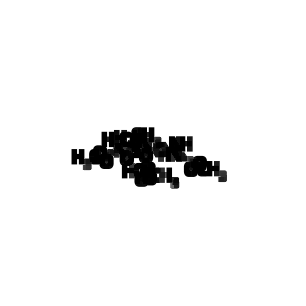 COC(=O)CCCNC(=N)c1ccc(C(=O)N=C2SC(C(=O)NCCC(=O)OC)C(C)N2C)cc1.COS(=O)(=O)O